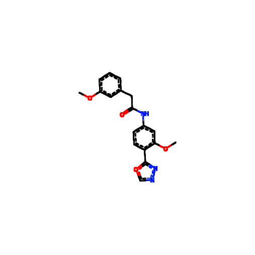 COc1cccc(CC(=O)Nc2ccc(-c3nnco3)c(OC)c2)c1